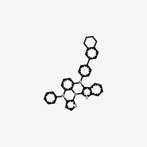 c1ccc(N2c3ccsc3B3c4sc5ccccc5c4N(c4ccc(-c5ccc6c(c5)CCCC6)cc4)c4cccc2c43)cc1